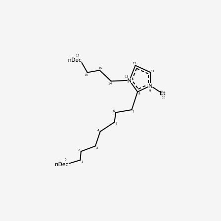 CCCCCCCCCCCCCCCCCc1n(CC)cc[n+]1CCCCCCCCCCCCC